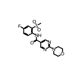 CS(=O)(=O)c1cc(F)ccc1NC(=O)c1cnc(N2CCOCC2)nc1